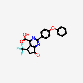 O=C(O)c1nc(-c2ccc(Oc3ccccc3)cc2)nc2c1C(C(F)(F)F)CC2=O